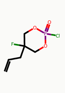 C=CCC1(F)COP(=O)(Cl)OC1